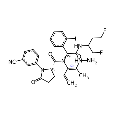 C=C/C(=C(\C)NN)N(C(=O)[C@@H]1CCC(=O)N1c1cccc(C#N)c1)[C@H](C(=O)NC(CF)CCF)c1ccccc1I